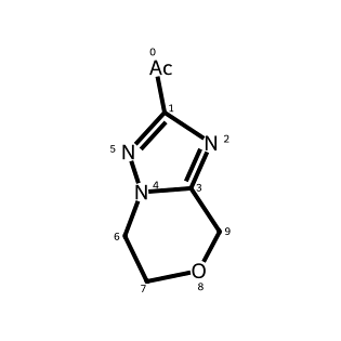 CC(=O)c1nc2n(n1)CCOC2